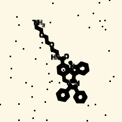 Cn1cc(-c2nc(-c3ccccc3)c(-c3ccccc3)n2Cc2ccc(C(=O)NCCOCCOCCN)cc2)c2ccccc21